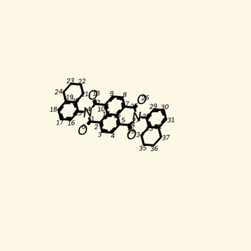 O=C1c2ccc3c4c(ccc(c24)C(=O)N1c1cccc2c1CCCC2)C(=O)N(c1cccc2c1CCCC2)C3=O